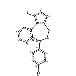 Cc1noc2c1-c1ccccc1N(c1ccc(Cl)cc1)CC2